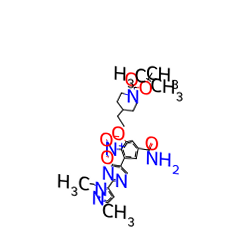 CCn1nc(C)cc1-c1ncc(-c2cc(C(N)=O)cc(OCCC3CCN(C(=O)OC(C)(C)C)CC3)c2[N+](=O)[O-])cn1